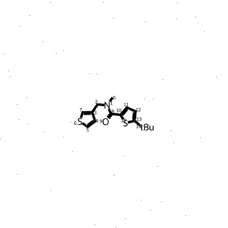 CN(Cc1ccsc1)C(=O)c1ccc(C(C)(C)C)s1